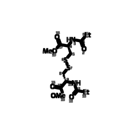 CCC(=O)N[C@@H](CSSC[C@H](NC(=O)CC)C(=O)OC)C(=O)OC